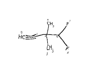 C#CC(C)(C)C(F)F